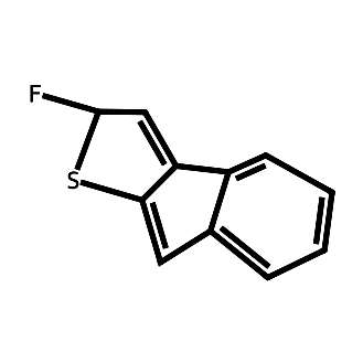 FC1C=C2C(=Cc3ccccc32)S1